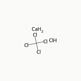 Cl.ClC(Cl)(Cl)Cl.[CaH2]